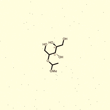 COC(C)OC(CO)[C@@H](O)[C@@H](O)CO